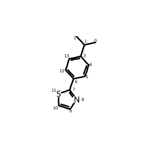 CC(C)c1ccc(-c2nccs2)cc1